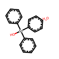 O.[OH][Sn]([c]1ccccc1)([c]1ccccc1)[c]1ccccc1